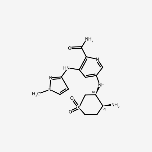 Cn1ccc(Nc2cc(N[C@@H]3CS(=O)(=O)CC[C@@H]3N)cnc2C(N)=O)n1